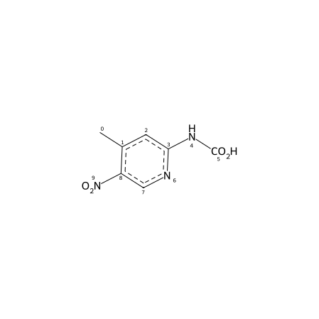 Cc1cc(NC(=O)O)ncc1[N+](=O)[O-]